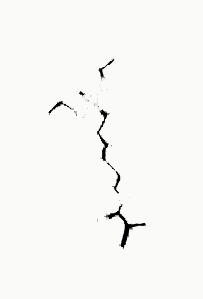 C=C(C)C(=O)OCCCCCC[Si](C)(OCC)OCC